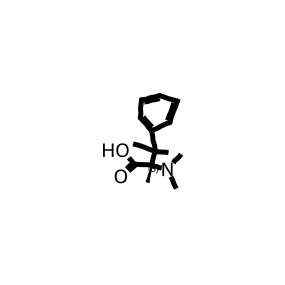 CN(C)[C@](C)(C(=O)O)C(C)(C)c1ccccc1